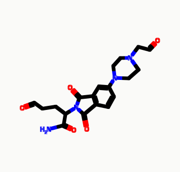 NC(=O)C(CCC=O)N1C(=O)c2ccc(N3CCN(CC=O)CC3)cc2C1=O